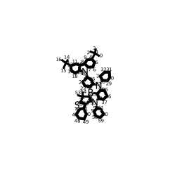 CC(C)(C)c1ccc2c(c1)c1cc(C(C)(C)C)ccc1n2-c1ccc2c(c1)N(c1ccccc1)c1cccc3c1B2C1=C(c2c(sc4ccccc24)C1(C)C)N3c1ccccc1